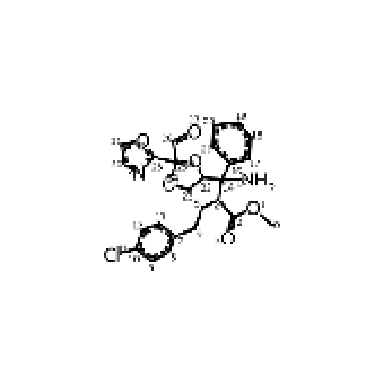 COC(=O)C(CCc1ccc(Cl)cc1)C(N)(c1ccccc1)C1COC(C=O)(c2ncco2)O1